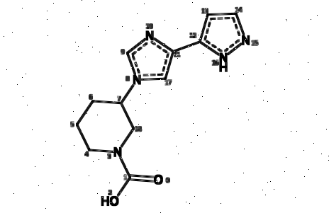 O=C(O)N1CCCC(n2cnc(-c3ccn[nH]3)c2)C1